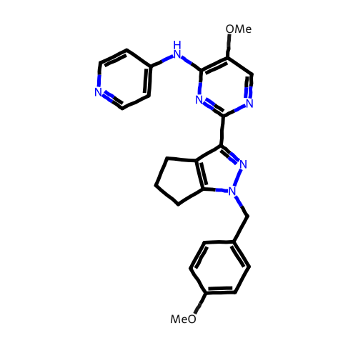 COc1ccc(Cn2nc(-c3ncc(OC)c(Nc4ccncc4)n3)c3c2CCC3)cc1